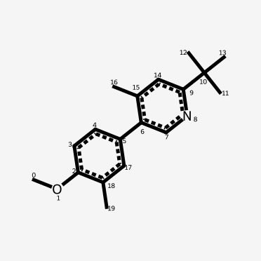 COc1ccc(-c2cnc(C(C)(C)C)cc2C)cc1C